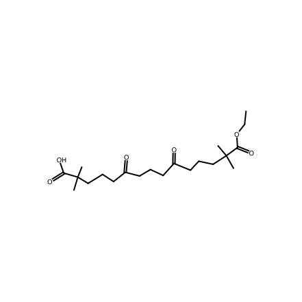 CCOC(=O)C(C)(C)CCCC(=O)CCCC(=O)CCCC(C)(C)C(=O)O